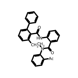 CC(=O)c1ccccc1N(C)C(=O)c1ccccc1NC(=O)c1c(C)cccc1-c1ccccc1